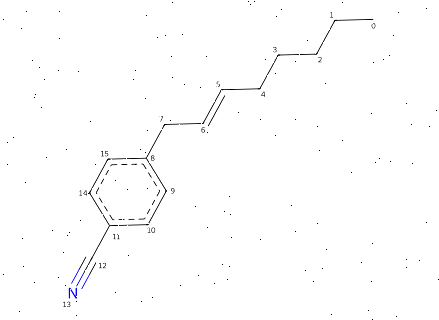 CCCCCC=CCc1ccc(C#N)cc1